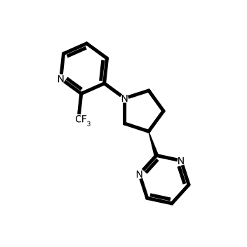 FC(F)(F)c1ncccc1N1CC[C@@H](c2ncccn2)C1